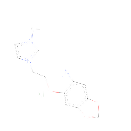 Cn1cc[n+](CCOc2cc3c(cc2N)OCO3)c1.[Cl-]